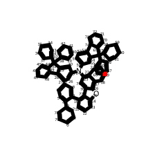 c1ccc(-c2ccccc2-c2cccc3oc4c5ccccc5c(N(c5ccc6c(c5)C(c5ccccc5)(c5ccccc5)c5ccccc5-6)c5ccc6c(c5)C(c5ccccc5)(c5ccccc5)c5ccccc5-6)cc4c23)cc1